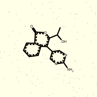 CC(O)c1oc(=O)c2ccccc2c1-c1cnc(N)nc1